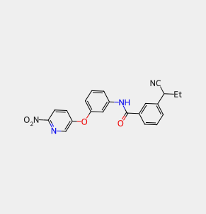 CCC(C#N)c1cccc(C(=O)Nc2cccc(Oc3ccc([N+](=O)[O-])nc3)c2)c1